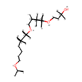 CC(C)OCCCCC(C)(C)C(C)(C)OCC(C)C(C)(C)C(C)(C)OCCC(C)(C)O